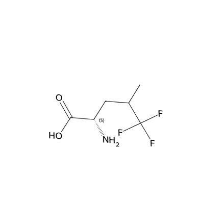 CC(C[C@H](N)C(=O)O)C(F)(F)F